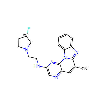 N#Cc1cc2ncc(NCCN3CC[C@H](F)C3)nc2n2c1nc1ccccc12